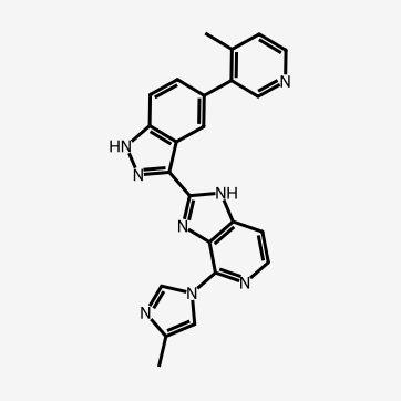 Cc1cn(-c2nccc3[nH]c(-c4n[nH]c5ccc(-c6cnccc6C)cc45)nc23)cn1